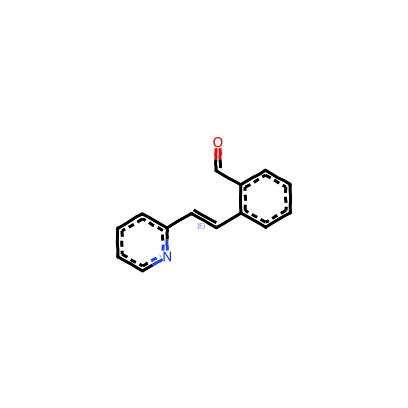 O=Cc1ccccc1/C=C/c1ccccn1